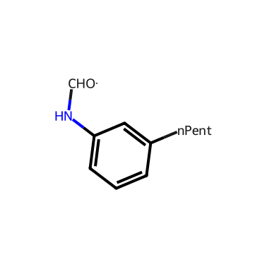 CCCCCc1cccc(N[C]=O)c1